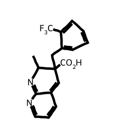 CC1N=c2ncccc2=CC1(Cc1ccccc1C(F)(F)F)C(=O)O